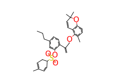 C=C(COc1c(C)ccc2c1C=CC(C)(C)O2)c1ccc(CCC)cc1OS(=O)(=O)C1C=CC(C)=CC1